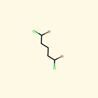 ClC(Br)CCCC(Cl)Br